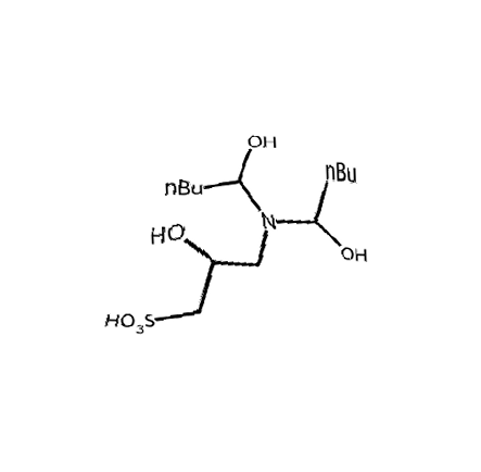 CCCCC(O)N(CC(O)CS(=O)(=O)O)C(O)CCCC